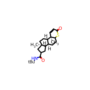 CC(C)(C)NC(=O)C1C[C@H]2[C@@H]3CCC4SC(=O)C=C[C@]4(C)[C@@H]3CC[C@]2(C)C1